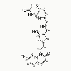 O=C1CSc2ccc(CNC[C@H]3CN(CCn4c(=O)ccc5ccc(F)cc54)C[C@H]3O)nc2N1